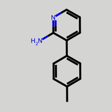 Cc1ccc(-c2cccnc2N)cc1